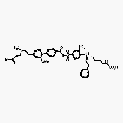 CCN(CC)CCN(C)CCc1ccc(-c2ccc(C(=O)NS(=O)(=O)c3ccc(N[C@H](CCCCNC(=O)O)CSc4ccccc4)c([N+](=O)[O-])c3)cc2)c(OC)c1